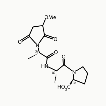 COC1CC(=O)N([C@@H](C)C(=O)N[C@@H](C)C(=O)N2CCC[C@H]2C(=O)O)C1=O